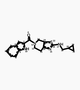 O=C(c1cc2ccccc2[nH]1)N1CCc2nc(NCC3CC3)sc2C1